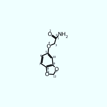 NC(=O)COc1ccc2c(c1)OCO2